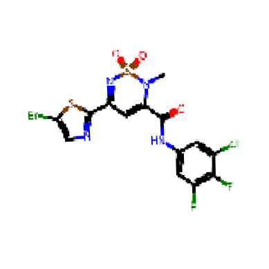 CN1C(C(=O)Nc2cc(F)c(F)c(Cl)c2)=CC(c2ncc(Br)s2)=NS1(=O)=O